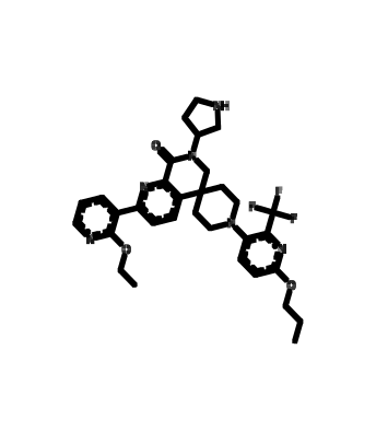 CCCOc1ccc(N2CCC3(CC2)CN(C2CCNC2)C(=O)c2nc(-c4cccnc4OCC)ccc23)c(C(F)(F)F)n1